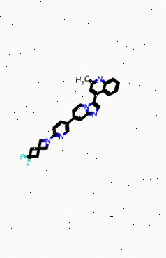 Cc1cc(-c2cnc3cc(-c4ccc(N5CC6(C5)CC(F)(F)C6)nc4)ccn23)c2ccccc2n1